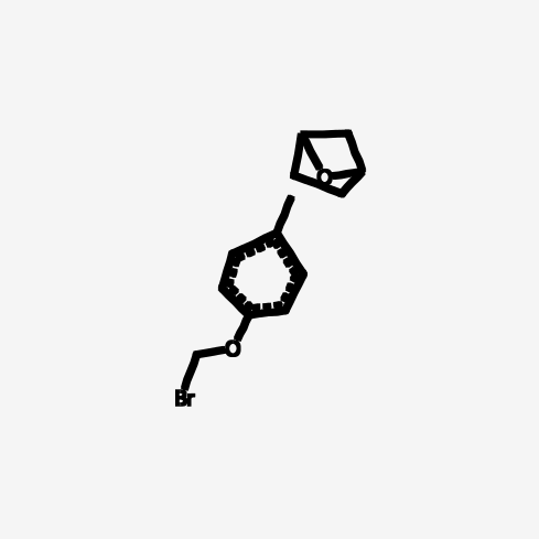 C1CC2CC1O2.Cc1ccc(OCBr)cc1